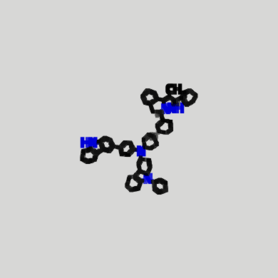 CC1=C2c3ccccc3C[C@H](C3=CC([C@H]4C=CC(N(C5=CC6C7=C(C=CCC7)N(c7ccccc7)C6C=C5)c5ccc(-c6ccc7[nH]c8ccccc8c7c6)cc5)CC4)CC=C3)N2N[C@@H]1C1=CCCC=C1